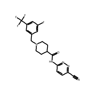 N#Cc1ccc(NC(=O)C2CCN(Cc3cc(F)cc(C(F)(F)F)c3)CC2)nn1